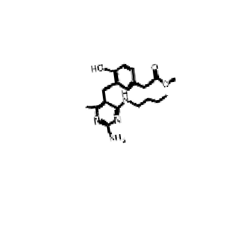 CCCCNc1nc(N)nc(C)c1Cc1cc(CC(=O)OC)ccc1O